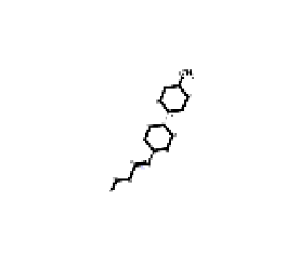 CC1CCC([C@H]2CC[C@H](/C=C/CCF)CC2)CC1